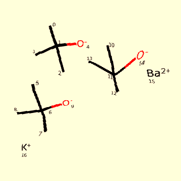 CC(C)(C)[O-].CC(C)(C)[O-].CC(C)(C)[O-].[Ba+2].[K+]